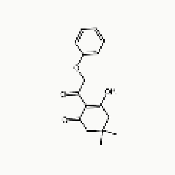 CC1(C)CC(=O)C(C(=O)COc2ccccc2)=C(O)C1